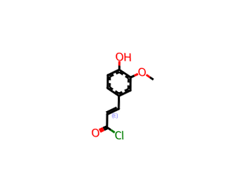 COc1cc(/C=C/C(=O)Cl)ccc1O